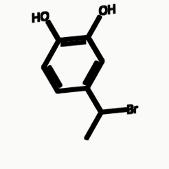 CC(Br)c1ccc(O)c(O)c1